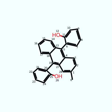 Cc1ccc2c(-c3ccccc3O)c3ccccc3c(-c3ccccc3O)c2c1